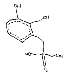 O=P(O)(O)Cc1cccc(O)c1O